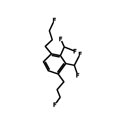 FCCCc1ccc(CCCF)c(C(F)F)c1C(F)F